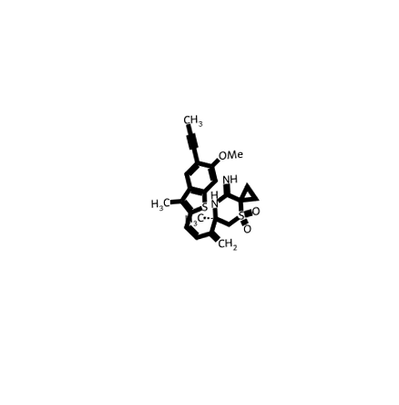 C=C(/C=C\c1sc2cc(OC)c(C#CC)cc2c1C)[C@]1(C)CS(=O)(=O)C2(CC2)C(=N)N1